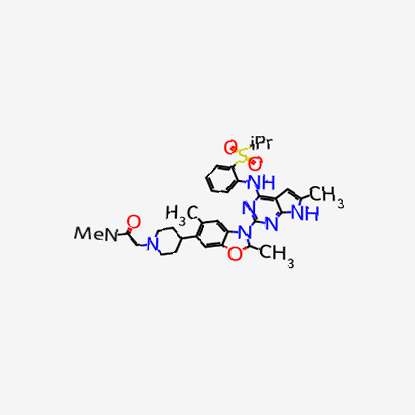 CNC(=O)CN1CCC(c2cc3c(cc2C)N(c2nc(Nc4ccccc4S(=O)(=O)C(C)C)c4cc(C)[nH]c4n2)C(C)O3)CC1